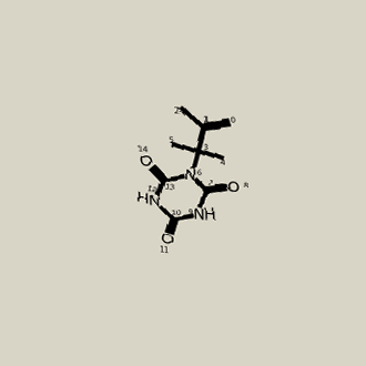 C=C(C)C(C)(C)n1c(=O)[nH]c(=O)[nH]c1=O